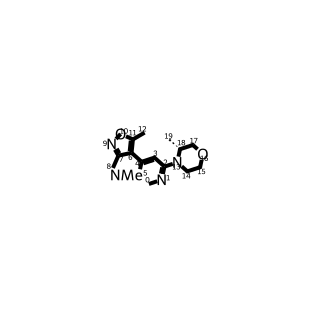 C/N=C(\C=C(/NC)c1c(C)noc1C)N1CCOC[C@H]1C